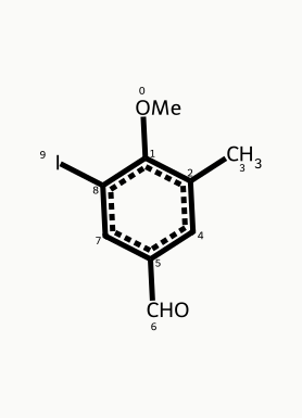 COc1c(C)cc(C=O)cc1I